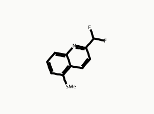 CSc1cccc2nc(C(F)F)ccc12